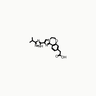 CC(C)c1n[nH]c(-c2cn3c(n2)-c2ccc(CC(=O)O)cc2OCC3)n1